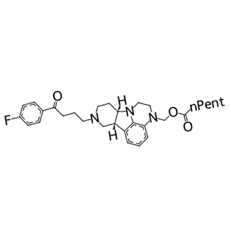 CCCCCC(=O)OCN1CCN2c3c(cccc31)[C@@H]1CN(CCCC(=O)c3ccc(F)cc3)CC[C@@H]12